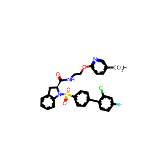 O=C(O)c1ccc(OCCNC(=O)[C@@H]2Cc3ccccc3N2S(=O)(=O)c2ccc(-c3ccc(F)cc3Cl)cc2)nc1